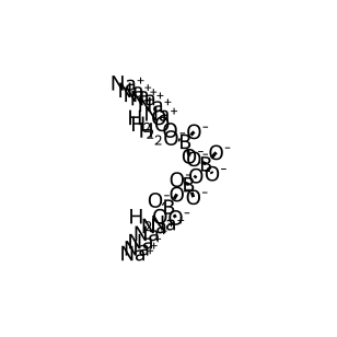 O.O.O.O.[Na+].[Na+].[Na+].[Na+].[Na+].[Na+].[Na+].[Na+].[Na+].[Na+].[Na+].[Na+].[O-]B([O-])[O-].[O-]B([O-])[O-].[O-]B([O-])[O-].[O-]B([O-])[O-]